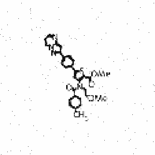 COCCN(c1cc(-c2ccc(-c3cc4ncccn4n3)cc2)sc1C(=O)OC)C(=O)[C@H]1CC[C@H](C)CC1